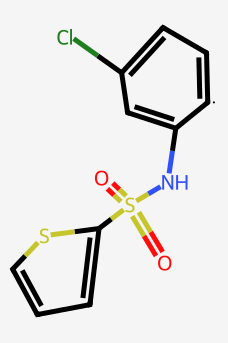 O=S(=O)(Nc1[c]ccc(Cl)c1)c1cccs1